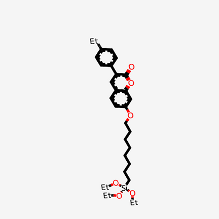 CCO[Si](CCCCCCCCOc1ccc2cc(-c3ccc(CC)cc3)c(=O)oc2c1)(OCC)OCC